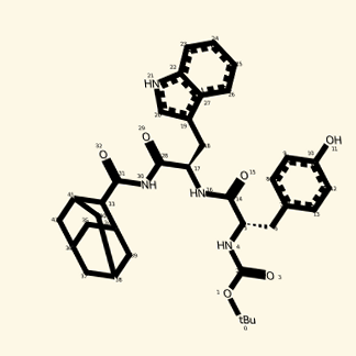 CC(C)(C)OC(=O)N[C@@H](Cc1ccc(O)cc1)C(=O)N[C@H](Cc1c[nH]c2ccccc12)C(=O)NC(=O)C1C2CC3CC(C2)CC1C3